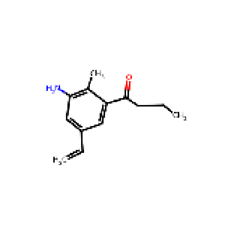 C=Cc1cc(N)c(C)c(C(=O)CCC)c1